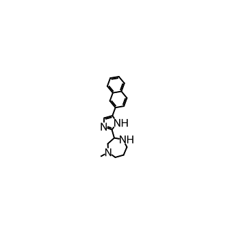 CN1CCCNC(c2ncc(-c3ccc4ccccc4c3)[nH]2)C1